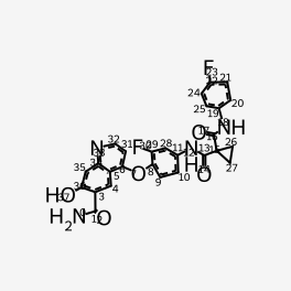 NC(=O)c1cc2c(Oc3ccc(NC(=O)C4(C(=O)Nc5ccc(F)cc5)CC4)cc3F)ccnc2cc1O